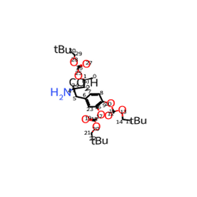 C[C@@H](CC(N)(Cc1ccc(OC(=O)OCC(C)(C)C)c(OC(=O)OCC(C)(C)C)c1)C(=O)O)OC(=O)OCC(C)(C)C